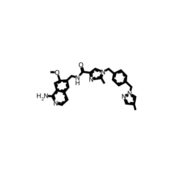 COc1cc2c(N)nccc2cc1CNC(=O)c1cn(Cc2ccc(Cn3cc(C)cn3)cc2)c(C)n1